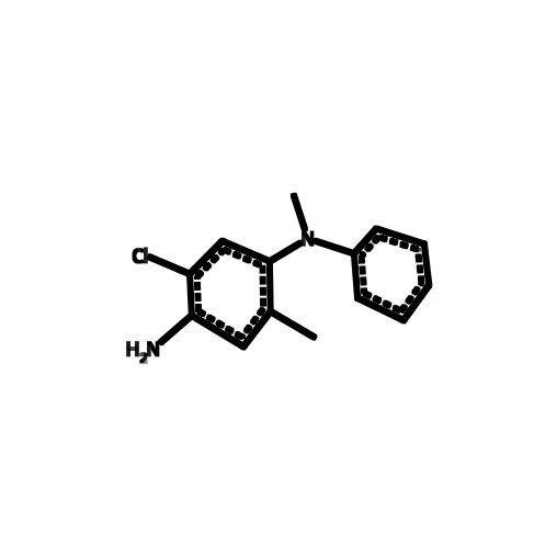 Cc1cc(N)c(Cl)cc1N(C)c1ccccc1